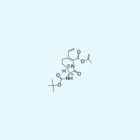 C=CC1=C(C(=O)OC(=C)C)N2C(=O)[C@@H](NC(=O)OC(C)(C)C)[C@H]2CC1